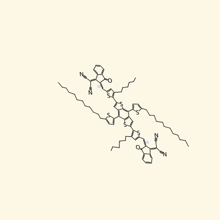 CCCCCCCCCCCCc1ccc(-c2c3cc(-c4sc(/C=C5\C(=O)c6ccccc6C5=C(C#N)C#N)cc4CCCCCC)sc3c(-c3ccc(CCCCCCCCCCCC)s3)c3cc(-c4sc(/C=C5\C(=O)c6ccccc6C5=C(C#N)C#N)cc4CCCCCC)sc23)s1